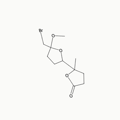 COC1(CBr)CCC(C2(C)CCC(=O)O2)O1